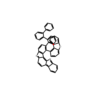 c1ccc(-c2ccccc2-c2ccccc2-c2ccc3c(c2-c2cccc4oc5ccccc5c24)-c2c4c(ccc2=N3)=c2ccccc2=N4)cc1